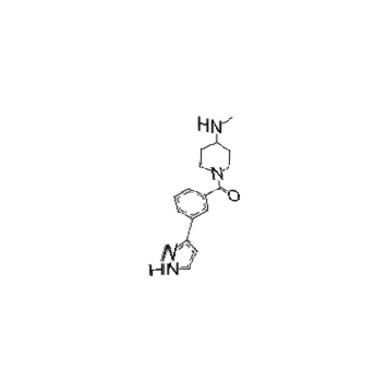 CNC1CCN(C(=O)c2cccc(-c3cc[nH]n3)c2)CC1